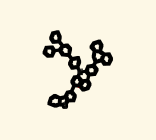 c1ccc(-c2ccc(-c3ccc(N(c4ccc(-c5ccc6oc7ccccc7c6c5)cc4)c4cc(-c5cc6ccccc6c6ccccc56)ccc4-c4ccccc4)cc3)cc2-c2ccccc2)cc1